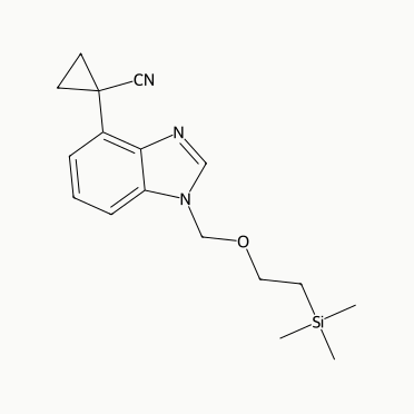 C[Si](C)(C)CCOCn1cnc2c(C3(C#N)CC3)cccc21